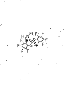 CCN.Fc1c(F)c(F)c(SP(=S)(S)Sc2c(F)c(F)c(F)c(F)c2F)c(F)c1F